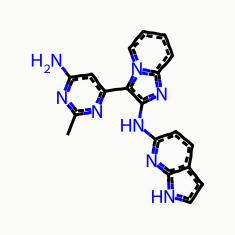 Cc1nc(N)cc(-c2c(Nc3ccc4cc[nH]c4n3)nc3ccccn23)n1